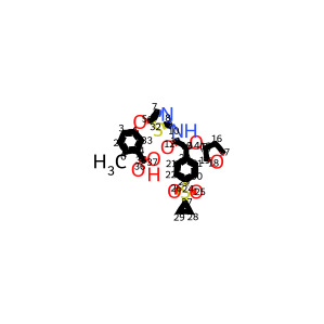 Cc1ccc(Oc2cnc(NC(=O)C(O[C@@H]3CCOC3)c3ccc(S(=O)(=O)C4CC4)cc3)s2)cc1C(=O)O